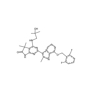 Cc1nc2c(OCc3c(F)cccc3F)cccn2c1-c1nc(NCC(C)(C)O)c2c(n1)NC(=O)C2(C)C